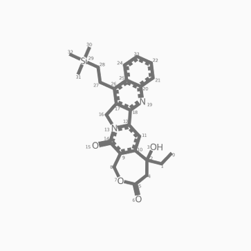 CCC1(O)CC(=O)OCc2c1cc1n(c2=O)Cc2c-1nc1ccccc1c2CC[Si](C)(C)C